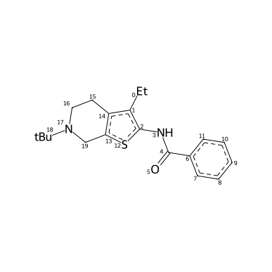 CCc1c(NC(=O)c2ccccc2)sc2c1CCN(C(C)(C)C)C2